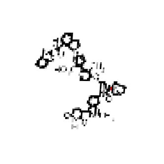 Cc1c(OCCCN2CC3CCC(C2)N3CC(=O)Nc2ccc3c(C4CCC(=O)NC4=O)nn(C)c3c2)cccc1-c1ccc(N2CCc3cccc(C(=O)Nc4nc5ccccc5s4)c3C2)nc1C(=O)O